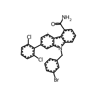 NC(=O)c1cccc2c1c1[c]cc(-c3c(Cl)cccc3Cl)cc1n2Cc1cccc(Br)c1